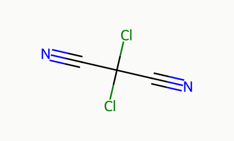 N#CC(Cl)(Cl)C#N